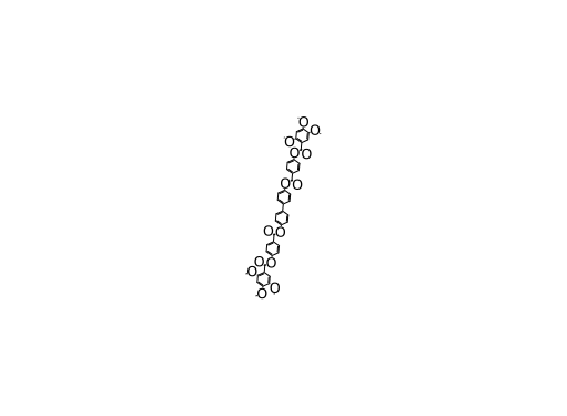 COc1cc(OC)c(C(=O)Oc2ccc(C(=O)Oc3ccc(-c4ccc(OC(=O)c5ccc(OC(=O)c6cc(OC)c(OC)cc6OC)cc5)cc4)cc3)cc2)cc1OC